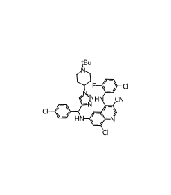 CC(C)(C)N1CCC(n2cc(C(Nc3cc(Cl)c4ncc(C#N)c(Nc5cc(Cl)ccc5F)c4c3)c3ccc(Cl)cc3)nn2)CC1